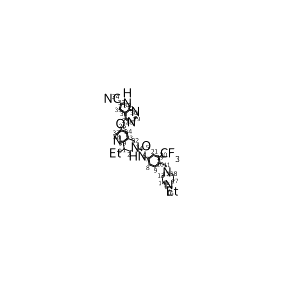 CCC1CN(C(=O)Nc2ccc(CN3CCN(CC)CC3)c(C(F)(F)F)c2)Cc2cc(Oc3ncnc4[nH]c(C#N)cc34)cnc21